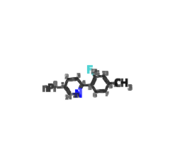 CCCc1ccc(-c2ccc(C)cc2F)nc1